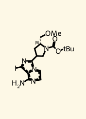 COC[C@H]1CC(c2nc(I)c3c(N)nccn23)CN1C(=O)OC(C)(C)C